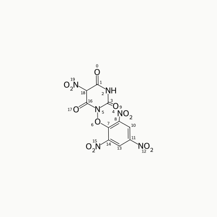 O=C1NC(=O)N(Oc2c([N+](=O)[O-])cc([N+](=O)[O-])cc2[N+](=O)[O-])C(=O)C1[N+](=O)[O-]